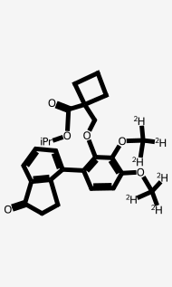 [2H]C([2H])([2H])Oc1ccc(-c2cccc3c2CCC3=O)c(OCC2(C(=O)OC(C)C)CCC2)c1OC([2H])([2H])[2H]